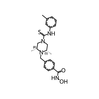 Cc1cccc(NC(=S)N2C[C@@H](C)N(Cc3ccc(C(=O)NO)cc3)[C@@H](C)C2)c1